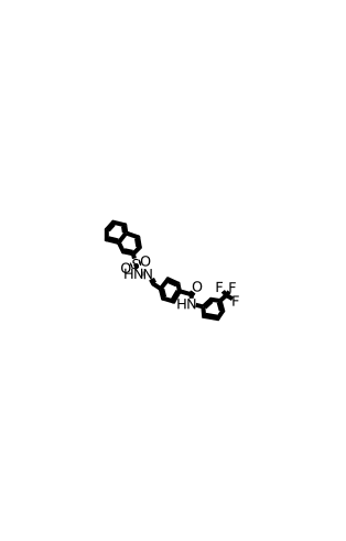 O=C(Nc1cccc(C(F)(F)F)c1)c1ccc(C=NNS(=O)(=O)c2ccc3ccccc3c2)cc1